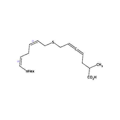 CCCCCC/C=C\C/C=C\CSCC=C=CCC(C)C(=O)O